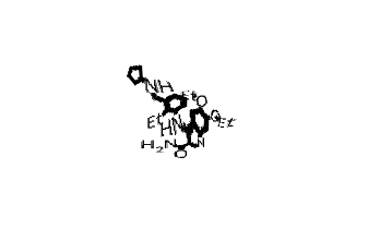 CCOc1cc2ncc(C(N)=O)c(Nc3cccc(CNC4CCCC4)c3CC)c2cc1OCC